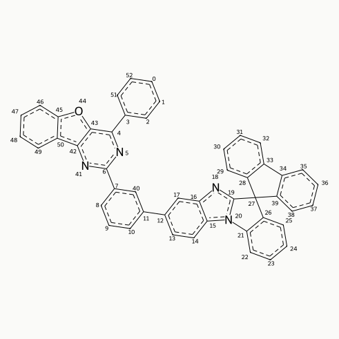 c1ccc(-c2nc(-c3cccc(-c4ccc5c(c4)nc4n5-c5ccccc5C45c4ccccc4-c4ccccc45)c3)nc3c2oc2ccccc23)cc1